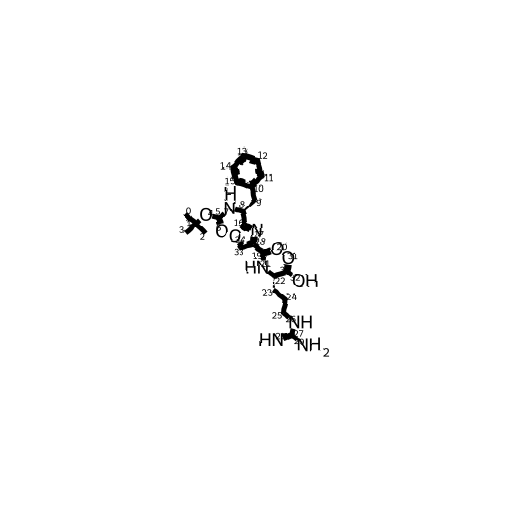 CC(C)(C)OC(=O)N[C@@H](Cc1ccccc1)c1nc(C(=O)N[C@@H](CCCNC(=N)N)C(=O)O)co1